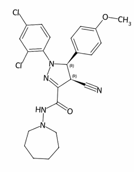 COc1ccc([C@H]2[C@@H](C#N)C(C(=O)NN3CCCCCC3)=NN2c2ccc(Cl)cc2Cl)cc1